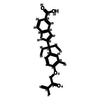 C=C(C)C(=O)COc1ccc(C(CC)(CC)c2cc3cc(C(=O)O)ccc3s2)cc1C